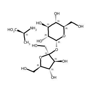 C[C@H](N)C(=O)O.OC[C@H]1O[C@@](CO)(O[C@H]2O[C@H](CO)[C@@H](O)[C@H](O)[C@H]2O)[C@@H](O)[C@@H]1O